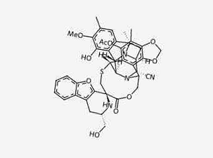 COc1c(C)cc2c(c1O)[C@H]1[C@@H]3[C@@H]4SC[C@]5(N[C@H](CO)Cc6c5oc5ccccc65)C(=O)OCC(c5c6c(c(C)c(OC(C)=O)c54)OCO6)N3[C@@H](C#N)[C@@H]3C[C@@]2(C)N31